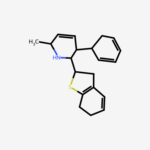 CC1C=CC(C2C=CC=CC2)C(C2CC3=C(CCC=C3)S2)N1